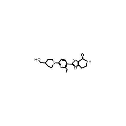 O=C1NCCc2nc(-c3ccc(N4CCC(CO)CC4)nc3F)sc21